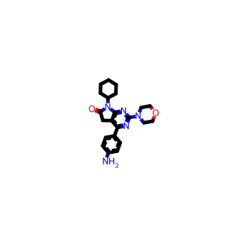 Nc1ccc(-c2nc(N3CCOCC3)nc3c2CC(=O)N3C2CCCCC2)cc1